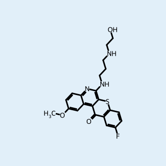 COc1ccc2nc(NCCCNCCO)c3sc4ccc(F)cc4c(=O)c3c2c1